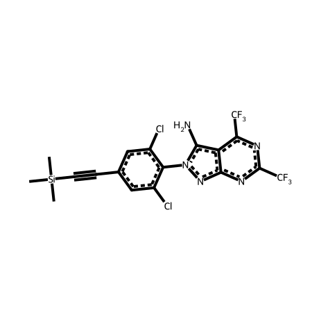 C[Si](C)(C)C#Cc1cc(Cl)c(-n2nc3nc(C(F)(F)F)nc(C(F)(F)F)c3c2N)c(Cl)c1